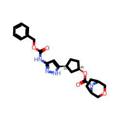 O=C(Nc1cc([C@H]2CC[C@@H](OC(=O)N3C4CCC3COC4)C2)[nH]n1)OCc1ccccc1